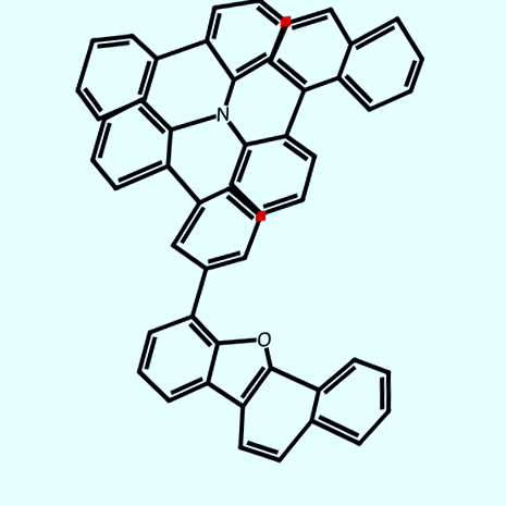 c1ccc(-c2ccccc2N(c2ccccc2-c2cccc(-c3cccc4c3oc3c5ccccc5ccc43)c2)c2ccccc2-c2cccc3ccccc23)cc1